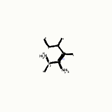 CCC(C)/C(C)=C(/N)N(C)N